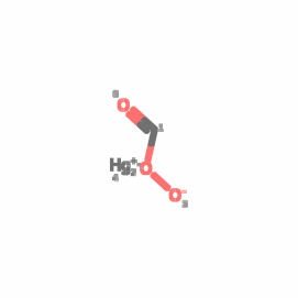 O=CO[O-].[Hg+]